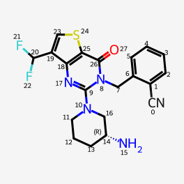 N#Cc1ccccc1Cn1c(N2CCC[C@@H](N)C2)nc2c(C(F)F)csc2c1=O